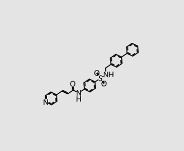 O=C(/C=C/c1ccncc1)Nc1ccc(S(=O)(=O)NCc2ccc(-c3ccccc3)cc2)cc1